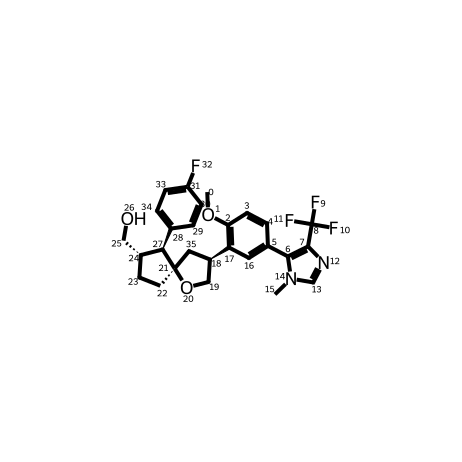 COc1ccc(-c2c(C(F)(F)F)ncn2C)cc1[C@H]1CO[C@]2(CC[C@H](CO)[C@H]2c2ccc(F)cc2)C1